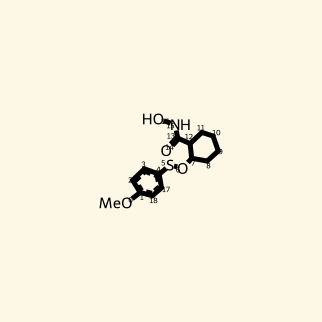 COc1ccc(SOC2CCCCC2C(=O)NO)cc1